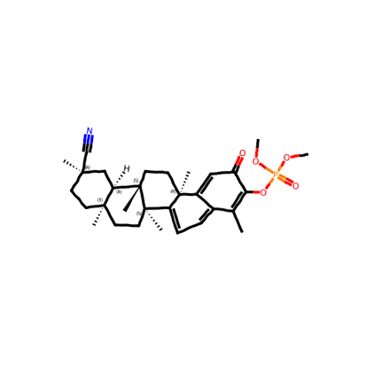 COP(=O)(OC)OC1=C(C)C2=CC=C3[C@@](C)(CC[C@@]4(C)[C@@H]5C[C@](C)(C#N)CC[C@]5(C)CC[C@]34C)C2=CC1=O